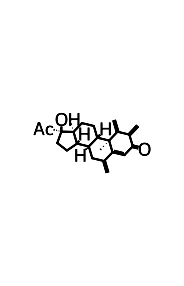 C=C1C[C@@H]2[C@H](CC[C@@]3(C)[C@H]2CC[C@]3(O)C(C)=O)[C@@]2(C)C(=C)C(=C)C(=O)C=C12